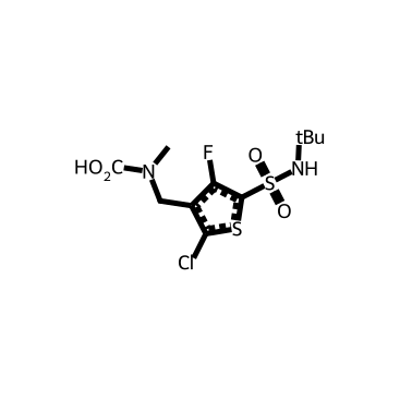 CN(Cc1c(Cl)sc(S(=O)(=O)NC(C)(C)C)c1F)C(=O)O